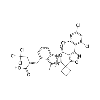 Cc1cn(C(=O)c2c(-c3c(Cl)cc(Cl)cc3Cl)noc2C2(C(N)=O)CCC2)c2cccc(/C=C(\CC(Cl)(Cl)Cl)C(=O)O)c12